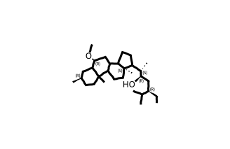 CC[C@H](C[C@@H](O)[C@@H](C)C1CCC2C3C[C@@H](OC)C4C[C@H](C)CCC4(C)C3CC[C@@]21C)C(C)C